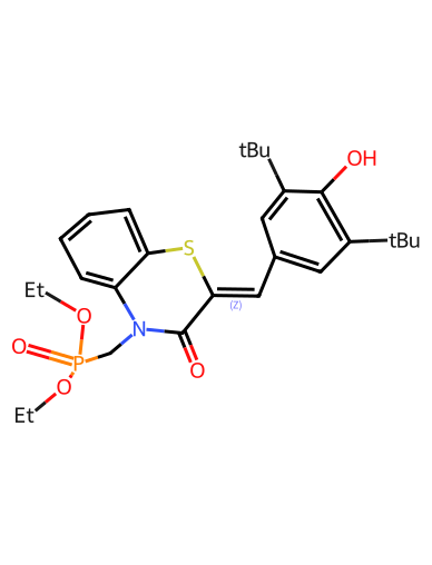 CCOP(=O)(CN1C(=O)/C(=C/c2cc(C(C)(C)C)c(O)c(C(C)(C)C)c2)Sc2ccccc21)OCC